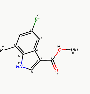 CC(C)c1cc(Br)cc2c(C(=O)OC(C)(C)C)c[nH]c12